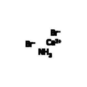 N.[Br-].[Br-].[Ca+2]